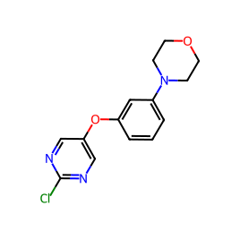 Clc1ncc(Oc2cccc(N3CCOCC3)c2)cn1